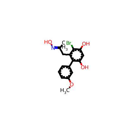 COc1cccc(-c2c(O)cc(O)c(Br)c2C/C(C)=N/O)c1